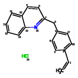 C=Cc1ccc(Cc2ccc3ccccc3n2)cc1.Cl